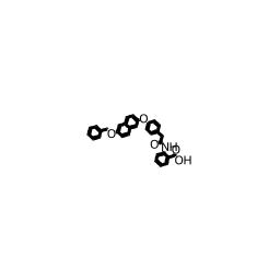 O=C(Cc1ccc(Oc2ccc3cc(OCc4ccccc4)ccc3c2)cc1)Nc1ccccc1C(=O)O